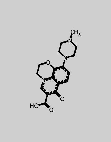 CN1CCN(c2ccc3c(=O)c(C(=O)O)cn4c3c2OCC4)CC1